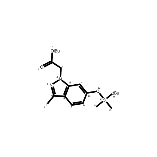 CC(C)COC(=O)Cn1nc(I)c2ccc(O[Si](C)(C)C(C)(C)C)cc21